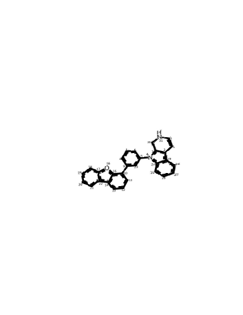 C1=Cc2c(n(-c3cccc(-c4cccc5c4oc4ccccc45)c3)c3ccccc23)CN1